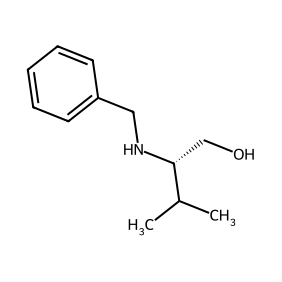 CC(C)[C@@H](CO)NCc1ccccc1